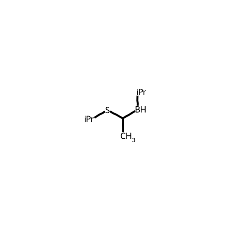 CC(C)BC(C)SC(C)C